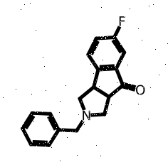 O=C1c2cc(F)ccc2C2CN(Cc3ccccc3)CC12